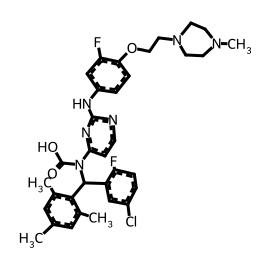 Cc1cc(C)c(C(c2cc(Cl)ccc2F)N(C(=O)O)c2ccnc(Nc3ccc(OCCN4CCN(C)CC4)c(F)c3)n2)c(C)c1